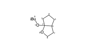 CCC(C)OC12CCCC1CCO2